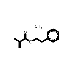 C.C=C(C)C(=O)OCCc1ccccc1